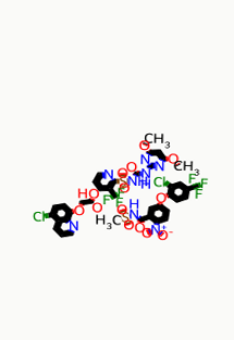 COc1cc(OC)nc(NC(=O)NS(=O)(=O)c2ncccc2C(F)(F)F)n1.CS(=O)(=O)NC(=O)c1cc(Oc2ccc(C(F)(F)F)cc2Cl)ccc1[N+](=O)[O-].O=C(O)COc1ccc(Cl)c2cccnc12